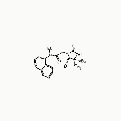 CCCCC1(C)NC(=O)N(CC(=O)N(CC)c2cccc3ccccc23)C1=O